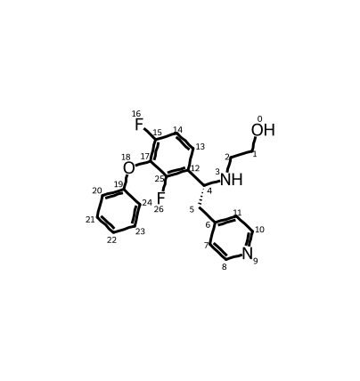 OCCN[C@H](Cc1ccncc1)c1ccc(F)c(Oc2ccccc2)c1F